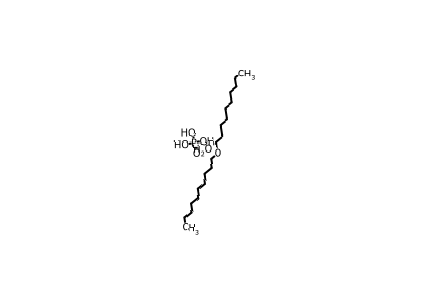 CCCCCCCCCCOCCCCCCCCCC.O.O=P(O)(O)O